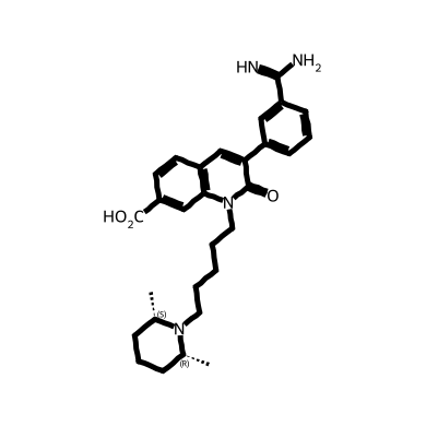 C[C@@H]1CCC[C@H](C)N1CCCCCn1c(=O)c(-c2cccc(C(=N)N)c2)cc2ccc(C(=O)O)cc21